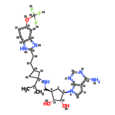 CC(C)C1(NC[C@H]2C[C@@H](n3ccc4c(N)ncnc43)[C@H](O)[C@@H]2O)CC(CCc2nc3cc(OC(F)(F)F)ccc3[nH]2)C1